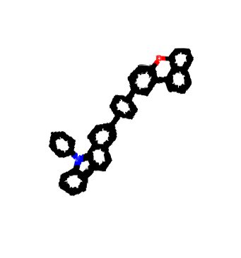 c1ccc(-n2c3ccccc3c3ccc4cc(-c5ccc(-c6ccc7c(c6)-c6cccc8cccc(c68)O7)cc5)ccc4c32)cc1